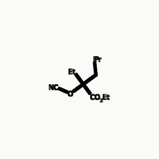 CCOC(=O)C(CC)(CC(C)C)OC#N